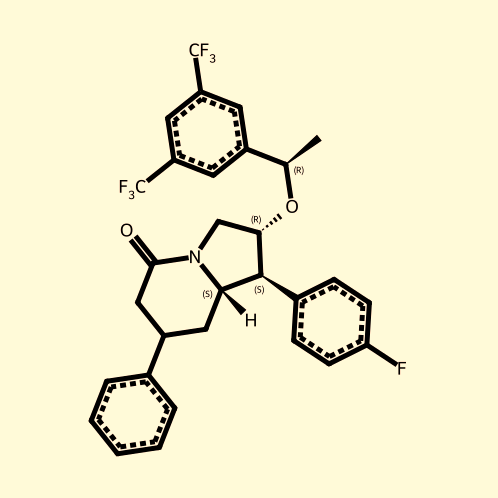 C[C@@H](O[C@H]1CN2C(=O)CC(c3ccccc3)C[C@H]2[C@@H]1c1ccc(F)cc1)c1cc(C(F)(F)F)cc(C(F)(F)F)c1